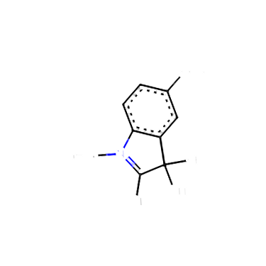 CCCCCC[N+]1=C(C)C(C)(C)c2cc(C(=O)O)ccc21.[I-]